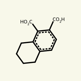 O=C(O)c1ccc2c(c1C(=O)O)CCCC2